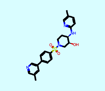 Cc1ccc(N[C@@H]2CCN(S(=O)(=O)c3ccc(-c4cncc(C)c4)cc3)C[C@@H]2O)nc1